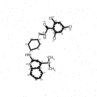 CN(C)c1cc(N[C@H]2CC[C@@H](CNC(=O)c3c(Cl)cc(Cl)cc3Cl)CC2)nc2ccccc12